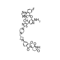 Cc1nc(N2CCN(CC3CN(c4ccc5c(c4)C(=O)N(C4CCC(=O)NC4=O)C5=O)C3)CC2)sc1-c1cnc(N)c(O[C@@H](C)c2cc(F)ccc2-n2nccn2)c1